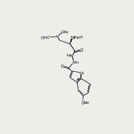 CCCCC[C@H](CN(O)C=O)C(=O)NNC(=O)c1cc2cc(OC)ccc2o1